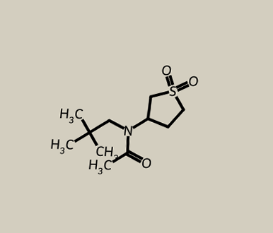 CC(=O)N(CC(C)(C)C)C1CCS(=O)(=O)C1